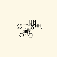 NNC(=O)NCCCCC1CCSS1.O=P(O)(Oc1ccccc1)Oc1ccccc1